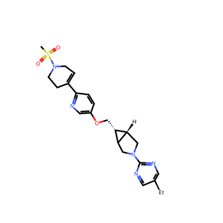 CCc1cnc(N2CC3[C@@H](C2)[C@H]3COc2ccc(C3=CCN(S(C)(=O)=O)CC3)nc2)nc1